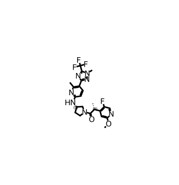 COc1cc([C@@H](C)C(=O)N2CC[C@H](Nc3ccc(-c4nc(C(F)(F)F)n(C)n4)c(C)n3)C2)c(F)cn1